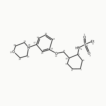 CCS(=O)(=O)NC1CCCCC1COc1cccc(N2CCOCC2)c1